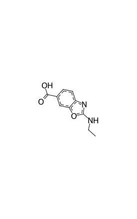 CCNc1nc2ccc(C(=O)O)cc2o1